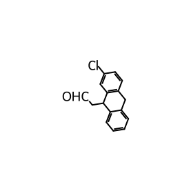 O=CCC1c2ccccc2Cc2ccc(Cl)cc21